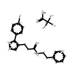 O=C(CCc1cnoc1-c1ccc(F)cc1)NCCc1cccnc1.O=C(O)C(F)(F)F